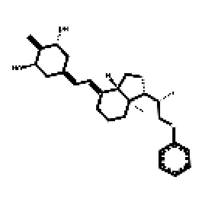 C=C1[C@H](O)CC(=C/C=C2\CCC[C@]3(C)[C@@H]([C@H](C)COc4ccccc4)CC[C@@H]23)C[C@H]1O